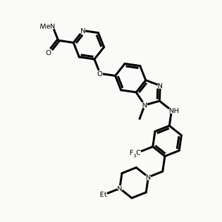 CCN1CCN(Cc2ccc(Nc3nc4ccc(Oc5ccnc(C(=O)NC)c5)cc4n3C)cc2C(F)(F)F)CC1